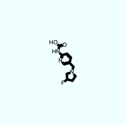 O=C(O)Nc1ccc(CN2CCC(F)C2)cn1